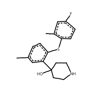 Cc1ccc(Sc2ccc(F)cc2C)c(C2(O)CCNCC2)c1